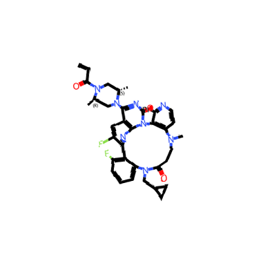 C=CC(=O)N1C[C@H](C)N(c2nc(=O)n3c4nc(c(F)cc24)-c2c(F)cccc2N(CC2CC2)C(=O)CCN(C)c2ccnc(C(C)C)c2-3)C[C@H]1C